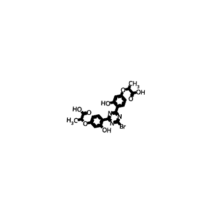 CC(Oc1ccc(-c2nc(Br)nc(-c3ccc(OC(C)C(=O)O)cc3O)n2)c(O)c1)C(=O)O